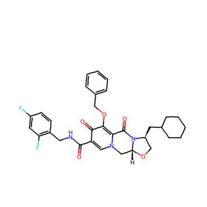 O=C(NCc1ccc(F)cc1F)c1cn2c(c(OCc3ccccc3)c1=O)C(=O)N1[C@@H](CC3CCCCC3)CO[C@@H]1C2